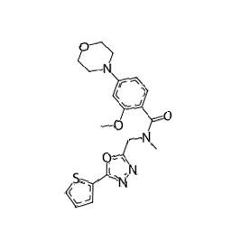 COc1cc(N2CCOCC2)ccc1C(=O)N(C)Cc1nnc(-c2cccs2)o1